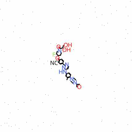 Cc1cc(Nc2ccnc(-c3ccc(O[C@H]4CCN(C(=O)[C@@H](O)CO)C[C@H]4F)c(C#N)c3)n2)ccc1N1CCN(C2COC2)CC1